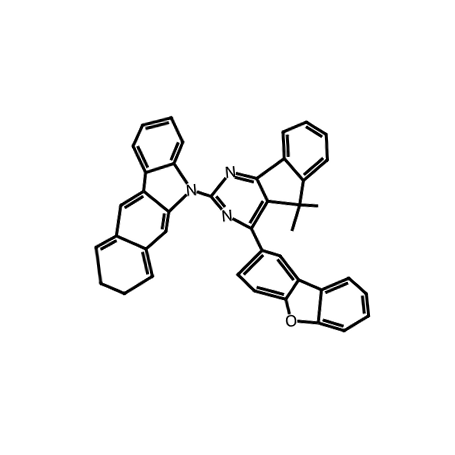 CC1(C)c2ccccc2-c2nc(-n3c4ccccc4c4cc5c(cc43)=CCCC=5)nc(-c3ccc4oc5ccccc5c4c3)c21